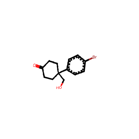 O=C1CCC(CO)(c2ccc(Br)cc2)CC1